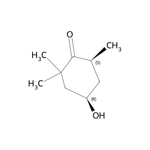 C[C@H]1C[C@@H](O)CC(C)(C)C1=O